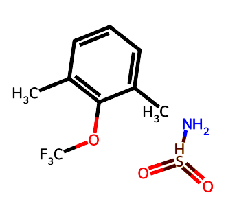 Cc1cccc(C)c1OC(F)(F)F.N[SH](=O)=O